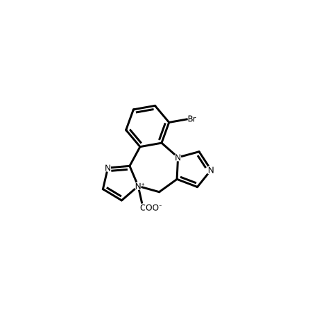 O=C([O-])[N+]12C=CN=C1c1cccc(Br)c1-n1cncc1C2